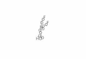 CCOC(Cc1ccc(OCCN(CCCOCc2ccc(F)cc2)C(=O)OCc2ccc(F)cc2)cc1)C(=O)O